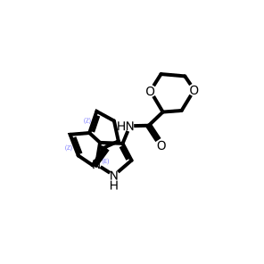 O=C(Nc1c[nH]nc1C1=C\CC/C=C/C=C\1)C1COCCO1